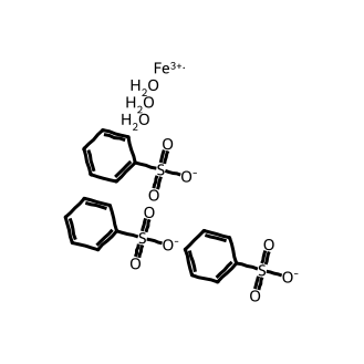 O.O.O.O=S(=O)([O-])c1ccccc1.O=S(=O)([O-])c1ccccc1.O=S(=O)([O-])c1ccccc1.[Fe+3]